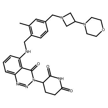 Cc1cc(CN2CC(N3CCOCC3)C2)ccc1CNc1cccc2nnn(C3CCC(=O)NC3=O)c(=O)c12